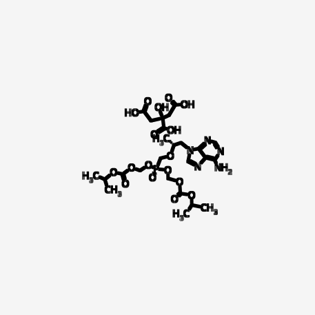 CC(C)OC(=O)OCOP(=O)(CO[C@H](C)Cn1cnc2c(N)ncnc21)OCOC(=O)OC(C)C.O=C(O)CC(O)(CC(=O)O)C(=O)O